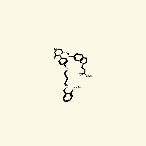 COC(=O)CCN1CCc2ccc(OC[C@H]3CNCC(=O)N3c3ccc(OCCCOCc4ccccc4OC)cc3)cc21